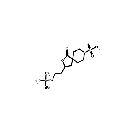 CC(C)(C)[Si](C)(C)OCCC1CC2(CCN(S(C)(=O)=O)CC2)C(=O)O1